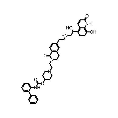 O=C(Nc1ccccc1-c1ccccc1)OC1CCN(CCN2CCc3cc(CCNCC(O)c4ccc(O)c5[nH]c(=O)ccc45)ccc3C2=O)CC1